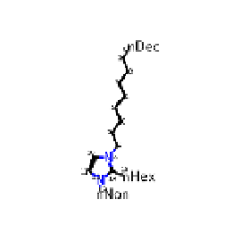 CCCCCCCCCCCCCCCCCCN1C=CN(CCCCCCCCC)C1CCCCCC